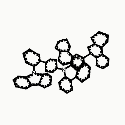 c1ccc(N(c2ccc(-c3ccccc3-n3c4ccccc4c4ccccc43)cc2)c2ccc(-c3cc4ccccc4c4ccccc34)cc2)c(-c2cccc3oc4c5ccccc5ccc4c23)c1